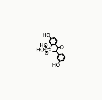 CC(C(=O)c1ccc(O)cc1SP(=O)(O)O)c1cccc(O)c1